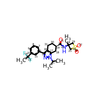 CC(C)n1nc(-c2cccc(C(C)(F)F)c2)c2c1C[C@H](C(=O)NC1(C)CS(=O)(=O)C1)CC2